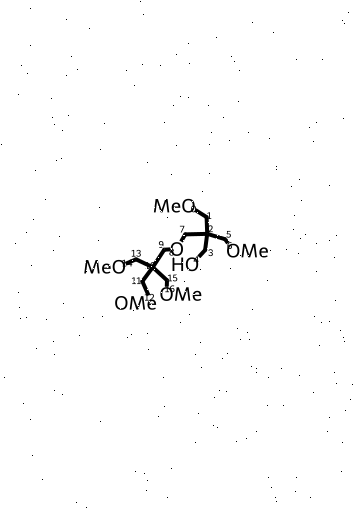 COCC(CO)(COC)COCC(COC)(COC)COC